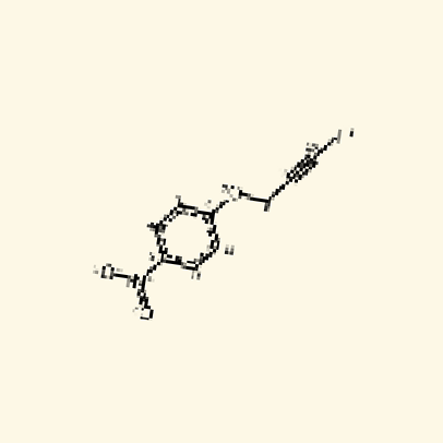 O=[N+]([O-])c1ccc(OCC#CI)cc1